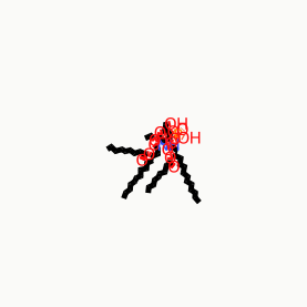 CCCCCCCCCCC[C@H](CC(=O)NC1C(OCC)OC(CO)C(OP(=O)(O)O)C1OC(=O)C[C@@H](CCCCCCCCCCC)OC(=O)CCCCCCCC)OC(=O)CCCCCCCC